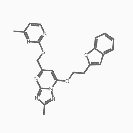 Cc1ccnc(SCc2cc(OCCc3cc4ccccc4o3)n3nc(C)nc3n2)n1